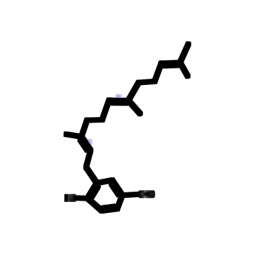 CC(C)=CCC/C(C)=C/CC/C(C)=C/Cc1cc(C=O)ccc1O